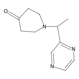 CC(c1cnccn1)N1CCC(=O)CC1